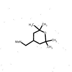 CNCC1CC(C)(C)OC(C)(C)C1